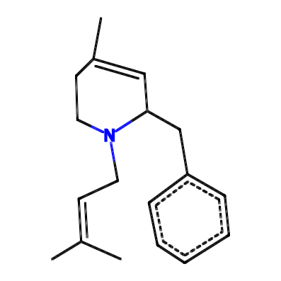 CC(C)=CCN1CCC(C)=CC1Cc1ccccc1